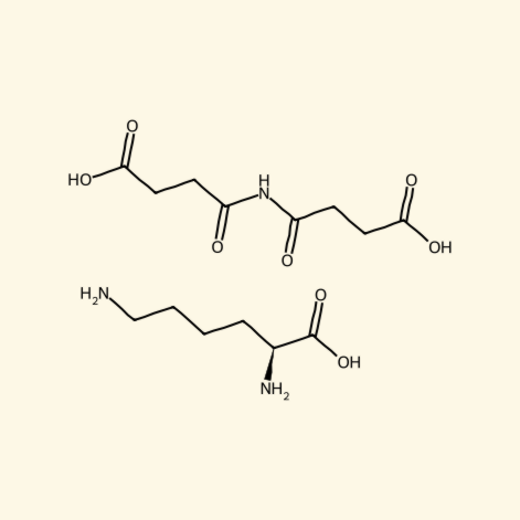 NCCCC[C@H](N)C(=O)O.O=C(O)CCC(=O)NC(=O)CCC(=O)O